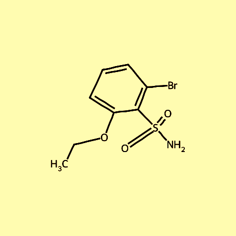 CCOc1cccc(Br)c1S(N)(=O)=O